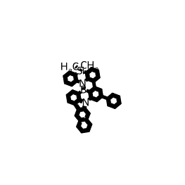 C[Si]1(C)c2ccccc2N2B3c4c(cc(-c5ccccc5)cc4-n4c5cc6ccccc6cc5c5cccc3c54)-c3cccc1c32